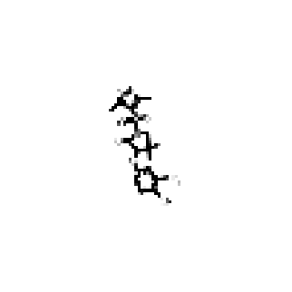 Cc1noc(C)c1S(=O)(=O)N1CC(C)(C)C(Oc2ccc(C#N)c(C(F)(F)F)c2)C1=O